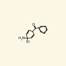 CCC1(N)C=CC(C(=O)c2ccccc2)C=C1